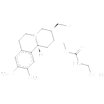 COc1cc2c(cc1OC)[C@H]1C[C@@H](COC(=O)NCC(=O)O)[C@H](CC(C)C)CN1CC2